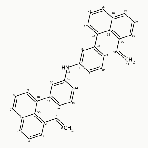 C=Cc1cccc2cccc(-c3cccc(Nc4cccc(-c5cccc6cccc(C=C)c56)c4)c3)c12